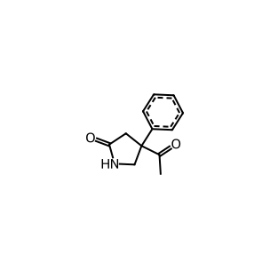 CC(=O)C1(c2ccccc2)CNC(=O)C1